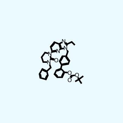 CCc1nc2ccc(N3CCCN(Cc4ccccc4)C3=O)nc2n1Cc1ccc(-c2ccccc2OC(=O)OC(C)(C)C)cc1